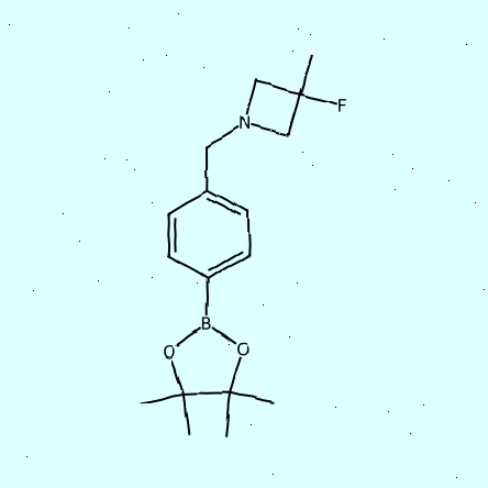 CC1(F)CN(Cc2ccc(B3OC(C)(C)C(C)(C)O3)cc2)C1